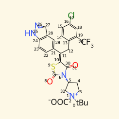 CC(C)(C)[N+]1(C(=O)[O-])CC[C@H](N2C(=O)S/C(=C(/Cc3ccc(Cl)cc3C(F)(F)F)c3ccc4[nH]ncc4c3)C2=O)C1